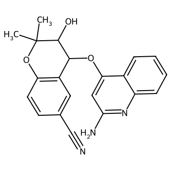 CC1(C)Oc2ccc(C#N)cc2C(Oc2cc(N)nc3ccccc23)C1O